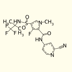 Cn1cc(S(=O)(=O)NC(C)(C)C(F)(F)F)c(F)c1C(=O)Nc1ccnc(C#N)c1